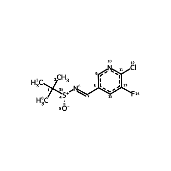 CC(C)(C)[S@@+]([O-])N=Cc1cnc(Cl)c(F)c1